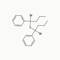 CCCC(Br)(SC(Br)(CCC)c1ccccc1)c1ccccc1